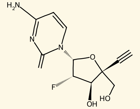 C#C[C@]1(CO)O[C@@H](N2C=CC(N)=NC2=C)[C@@H](F)[C@@H]1O